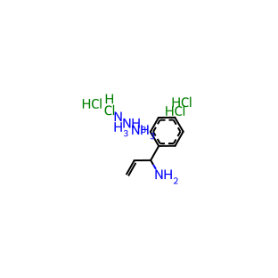 C=CC(N)c1ccccc1.Cl.Cl.Cl.Cl.N.N.N